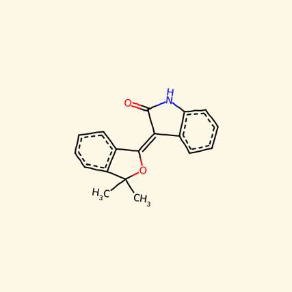 CC1(C)OC(=C2C(=O)Nc3ccccc32)c2ccccc21